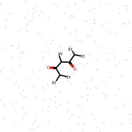 CCC(CC)C(=O)C(C(=O)C(CC)CC)C(C)C